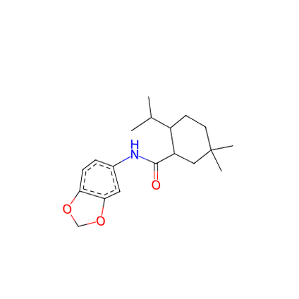 CC(C)C1CCC(C)(C)CC1C(=O)Nc1ccc2c(c1)OCO2